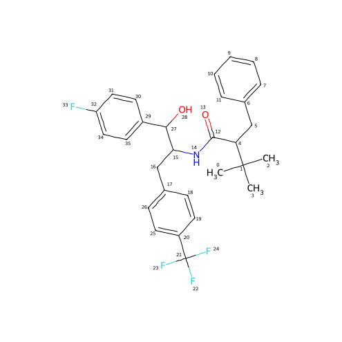 CC(C)(C)C(Cc1ccccc1)C(=O)NC(Cc1ccc(C(F)(F)F)cc1)C(O)c1ccc(F)cc1